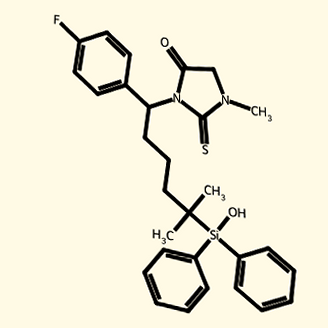 CN1CC(=O)N(C(CCCC(C)(C)[Si](O)(c2ccccc2)c2ccccc2)c2ccc(F)cc2)C1=S